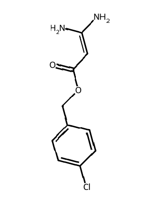 NC(N)=CC(=O)OCc1ccc(Cl)cc1